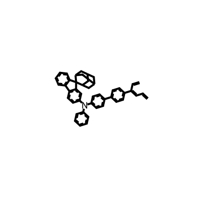 C=C/C=C(\C=C)c1ccc(-c2ccc(N(c3ccccc3)c3ccc4c(c3)C3(c5ccccc5-4)C4CC5CC(C4)CC3C5)cc2)cc1